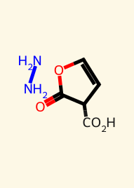 NN.O=C(O)C1C=COC1=O